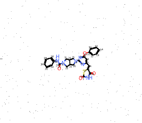 O=C1NC(=O)C(=Cc2cc(Oc3ccccc3)nc(N3CC4CN(C(=O)Nc5ccccc5)CC4C3)n2)S1